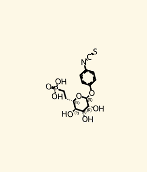 O=P(O)(O)CC[C@@H]1O[C@@H](Oc2ccc(N=C=S)cc2)[C@H](O)[C@H](O)[C@H]1O